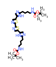 CC(C)(C)OC(=O)NCCCCc1ncc(-c2cnc(-c3ncc(-c4cnc(CCCCNC(=O)OC(C)(C)C)[nH]4)s3)s2)[nH]1